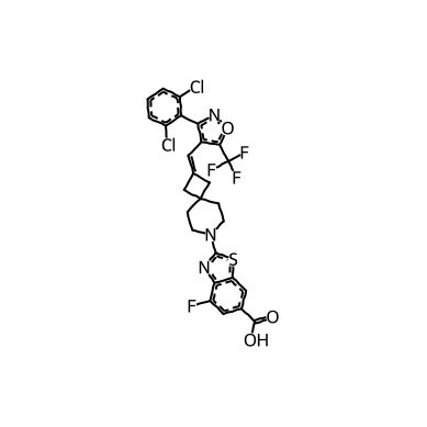 O=C(O)c1cc(F)c2nc(N3CCC4(CC3)CC(=Cc3c(-c5c(Cl)cccc5Cl)noc3C(F)(F)F)C4)sc2c1